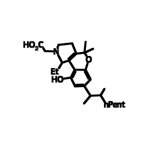 CCCCCC(C)C(C)c1cc(O)c2c(c1)OC(C)(C)C1=C2C(CC)N(CC(=O)O)CC1